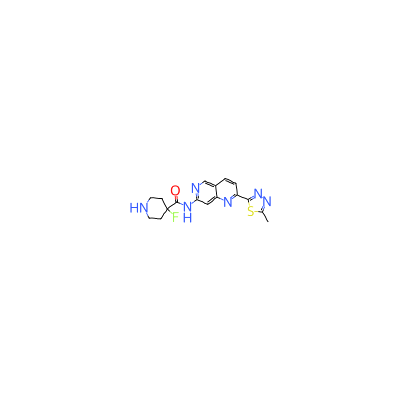 Cc1nnc(-c2ccc3cnc(NC(=O)C4(F)CCNCC4)cc3n2)s1